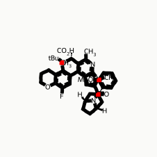 COc1ccccc1[C@H]1C[C@H]2CC[C@@H](C1)N2C(=O)c1cc2c(-c3cc(F)c4c(c3C)CCCO4)c([C@H](OC(C)(C)C)C(=O)O)c(C)nc2n1C